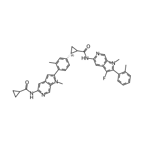 Cc1cc([C@@H]2CC2C(=O)Nc2cc3c(F)c(-c4ccccc4C)n(C)c3cn2)ccc1-c1cc2cc(NC(=O)C3CC3)ncc2n1C